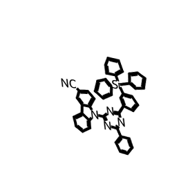 N#Cc1ccc2c(c1)c1ccccc1n2-c1nc(-c2ccccc2)nc(-c2cccc([Si](c3ccccc3)(c3ccccc3)c3ccccc3)c2)n1